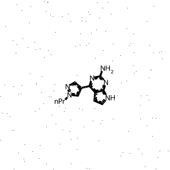 CCCn1cc(-c2nc(N)nc3[nH]ccc23)cn1